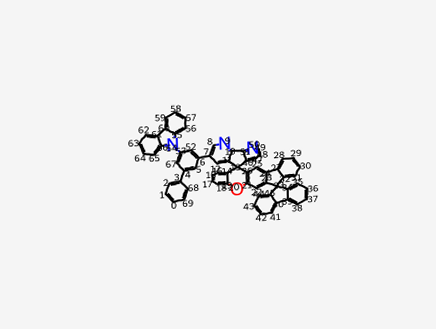 c1ccc(-c2cc(-c3cnc4c(c3)C3(c5ccccc5Oc5cc6c(cc53)-c3ccccc3C63c5ccccc5-c5ccccc53)c3cccnc3-4)cc(-n3c4ccccc4c4ccccc43)c2)cc1